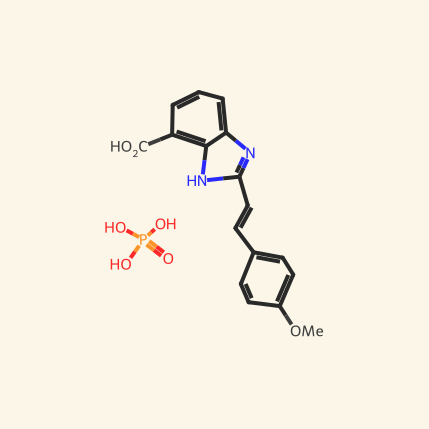 COc1ccc(C=Cc2nc3cccc(C(=O)O)c3[nH]2)cc1.O=P(O)(O)O